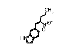 CCCC(=Cc1ccc2cc[nH]c2c1)[N+](=O)[O-]